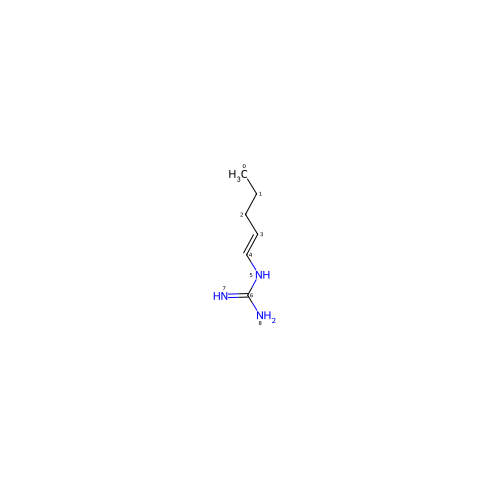 CCCC=CNC(=N)N